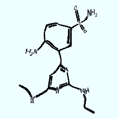 CCNc1nc(NC)cc(-c2cc(S(N)(=O)=O)ccc2N)n1